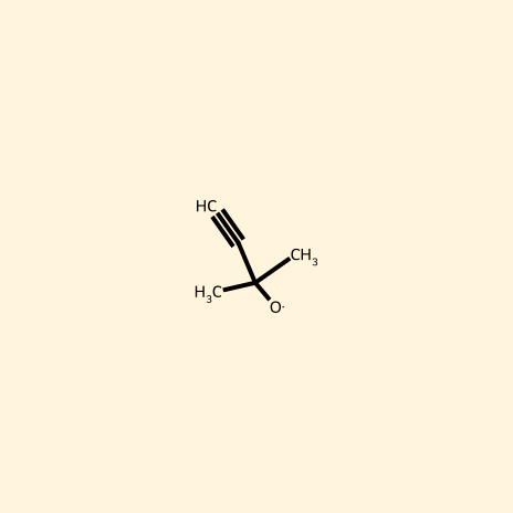 C#CC(C)(C)[O]